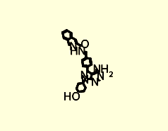 Nc1ncnc2c1c(-c1ccc(CNC(=O)c3cc4ccccc4cn3)cc1)nn2C1CCC(O)CC1